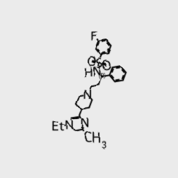 CCN1C=C(C2CCN(CC[C@@H](NS(=O)(=O)c3cccc(F)c3)c3ccccc3)CC2)N=C(C)C1